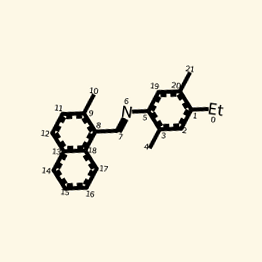 CCc1cc(C)c(/N=C/c2c(C)ccc3ccccc23)cc1C